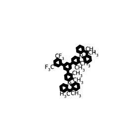 Cc1c(-c2cc(-c3cc(C(F)(F)F)cc(C(F)(F)F)c3)cc(-c3ccc(N4c5ccccc5C(C)(C)c5ccccc54)c(C)c3C)c2)ccc(N2c3ccccc3C(C)(C)c3ccccc32)c1C